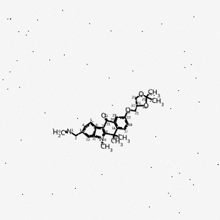 C=NCc1ccc2c3c(n(C)c2c1)C(C)(C)c1ccc(OC[C@H]2COC(C)(C)O2)cc1C3=O